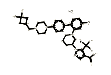 Cl.O=C(O)c1cnn(C2CCCN(c3cc(Cl)ccc3-c3ccc(N4CCN(CC5CC(F)(F)C5)CC4)cc3)C2)c1C(F)(F)F